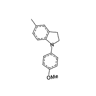 COc1ccc(N2CCc3cc(C)ccc32)cc1